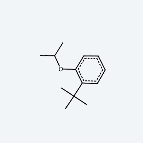 CC(C)Oc1ccccc1C(C)(C)C